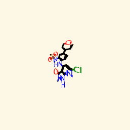 CN(c1cc(C2CCOCC2)ccc1Nc1cc(Cl)nc2[nH]n(C)c(=O)c12)S(C)(=O)=O